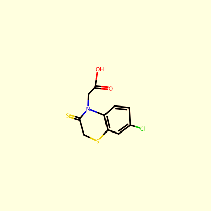 O=C(O)CN1C(=S)CSc2cc(Cl)ccc21